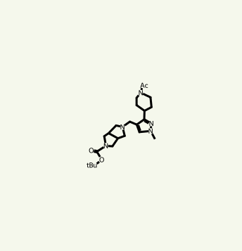 CC(=O)N1CCC(c2nn(C)cc2CN2CC3CN(C(=O)OC(C)(C)C)CC3C2)CC1